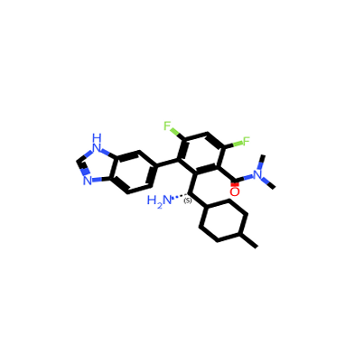 CC1CCC([C@H](N)c2c(C(=O)N(C)C)c(F)cc(F)c2-c2ccc3nc[nH]c3c2)CC1